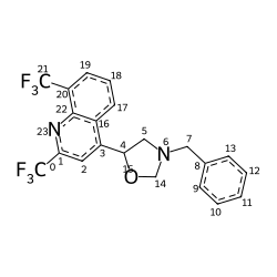 FC(F)(F)c1cc(C2CN(Cc3ccccc3)CO2)c2cccc(C(F)(F)F)c2n1